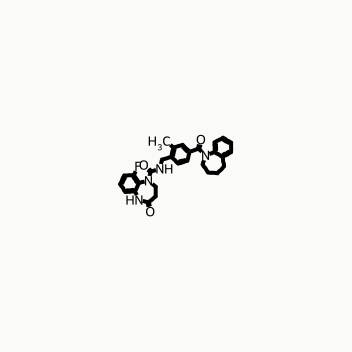 Cc1cc(C(=O)N2CCCCc3ccccc32)ccc1CNC(=O)N1CCC(=O)Nc2cccc(F)c21